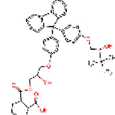 CC(C)(C)C(O)COc1ccc(C2(c3ccc(OCC(O)COC(=O)C4CC=CCC4C(=O)O)cc3)c3ccccc3-c3ccccc32)cc1